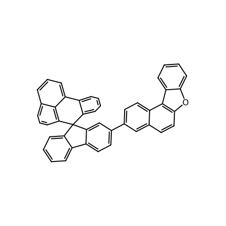 c1ccc2c(c1)-c1ccc(-c3ccc4c(ccc5oc6ccccc6c54)c3)cc1C21c2ccccc2-c2cccc3cccc1c23